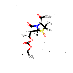 COC(=O)[C@@H]1N2C(=O)[C@@H]([C@@H](C)OC(=O)OCC(Cl)(Cl)Cl)[C@H]2[S+]([O-])C1(C)C